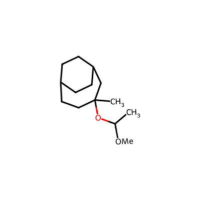 COC(C)OC1(C)CCC2CCC(CC2)C1